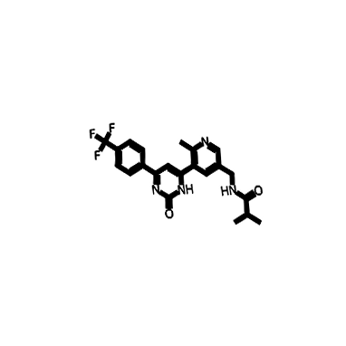 Cc1ncc(CNC(=O)C(C)C)cc1-c1cc(-c2ccc(C(F)(F)F)cc2)nc(=O)[nH]1